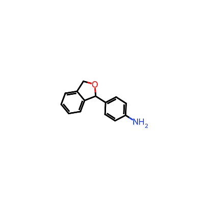 Nc1ccc(C2OCc3ccccc32)cc1